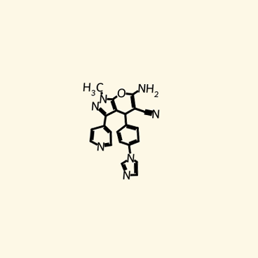 Cn1nc(-c2ccncc2)c2c1OC(N)=C(C#N)C2c1ccc(-n2ccnc2)cc1